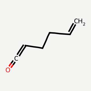 C=CCCC=C=O